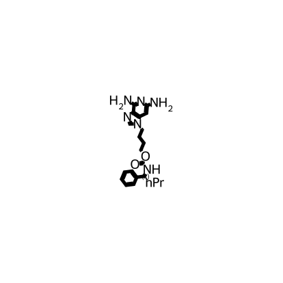 CCC[C@@H](NC(=O)OCCCCn1cnc2c(N)nc(N)cc21)c1ccccc1